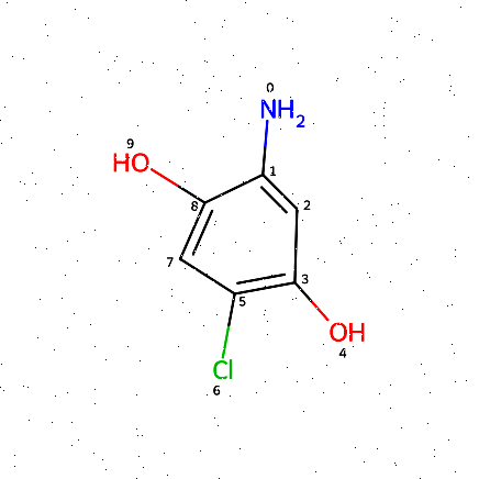 Nc1cc(O)c(Cl)cc1O